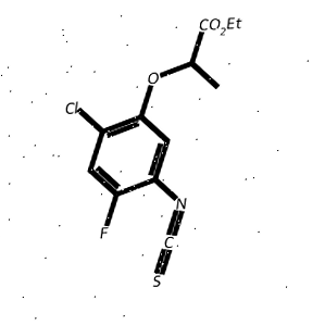 CCOC(=O)C(C)Oc1cc(N=C=S)c(F)cc1Cl